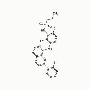 CCCS(=O)(=O)Nc1c(F)ccc(Nc2ncnc3ccc(-c4cccnc4F)cc23)c1F